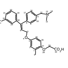 Cc1cc(OC/C=C(\c2ccc(CN(C)C)cc2)c2cccc(C(F)(F)F)c2)ccc1OCC(=O)O